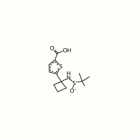 CC(C)(C)[S+]([O-])NC1(c2ccc(C(=O)O)s2)CCC1